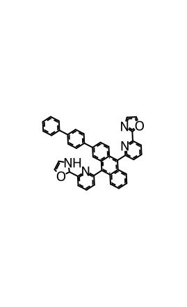 C1=COC(c2cccc(-c3c4ccccc4c(-c4cccc(-c5ncco5)n4)c4ccc(-c5ccc(-c6ccccc6)cc5)cc34)n2)N1